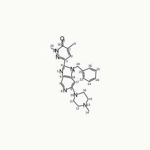 Cc1cc(-c2nc3cnc(N4CCN(C)CC4)cc3n2Cc2ccccc2)nn(C)c1=O